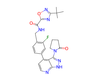 CC(C)(C)c1noc(C(=O)NCc2ccc(-c3ccnc4[nH]nc(N5CCCC5=O)c34)cc2F)n1